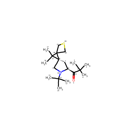 CC(C)(C)C(=O)[C@@H]1C[C@]2(CN1C(C)(C)C)C(C)(C)C21CSC1